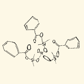 C[Si](C)(OC(=O)c1ccccc1)OP(=O)(O[Si](C)(C)OC(=O)c1ccccc1)O[Si](C)(C)OC(=O)c1ccccc1